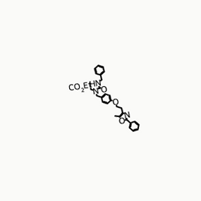 CCOC(=O)CN(Cc1ccc(OCCc2nc(-c3ccccc3)oc2C)cc1)C(=O)NCc1ccccc1